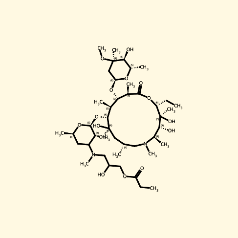 CCC(=O)OCC(O)CN(C)C1C[C@@H](C)O[C@@H](O[C@@H]2[C@@H](C)[C@H](O[C@H]3C[C@@](C)(OC)[C@@H](O)[C@H](C)O3)[C@@H](C)C(=O)O[C@H](CC)[C@@](C)(O)[C@H](O)[C@@H](C)N(C)C[C@H](C)C[C@@]2(C)O)[C@@H]1O